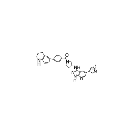 Cn1cc(-c2cnc3[nH]nc(N[C@@H]4CCN(C(=O)c5ccc(-c6ccc7c(c6)CCCN7)cc5)C4)c3c2)cn1